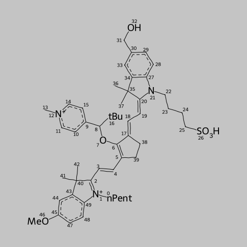 CCCCC[N+]1=C(/C=C/C2=C(OC(c3cc[n+](C)cc3)C(C)(C)C)C(=C/C=C3/N(CCCCS(=O)(=O)O)c4ccc(CO)cc4C3(C)C)/CC2)C(C)(C)c2cc(OC)ccc21